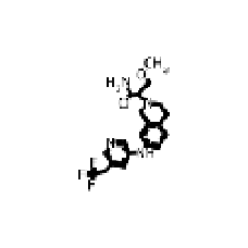 COCC(C(N)=O)N1CCc2ccc(Nc3cncc(CC(F)(F)F)c3)cc2C1